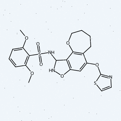 COc1cccc(OC)c1S(=O)(=O)NC1NOc2cc(Oc3nccs3)c3c(c21)OCCCC3